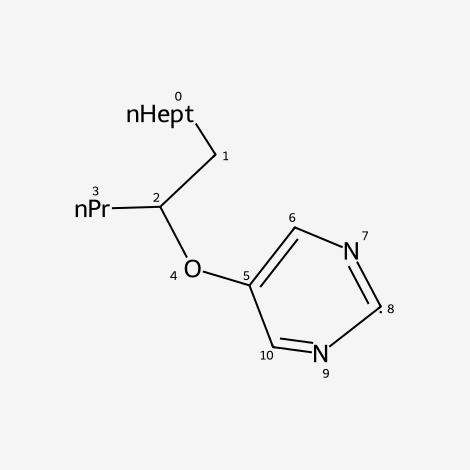 CCCCCCCCC(CCC)Oc1cn[c]nc1